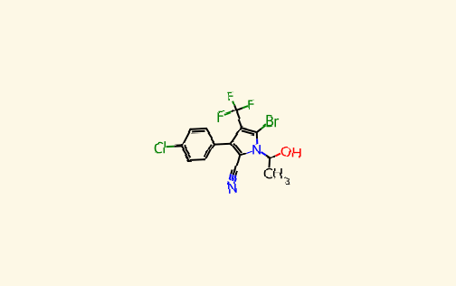 CC(O)n1c(Br)c(C(F)(F)F)c(-c2ccc(Cl)cc2)c1C#N